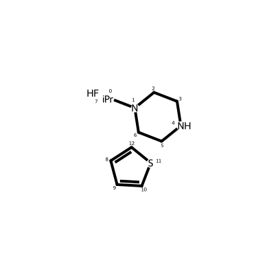 CC(C)N1CCNCC1.F.c1ccsc1